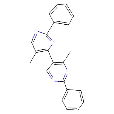 Cc1cnc(-c2ccccc2)nc1-c1cnc(-c2ccccc2)nc1C